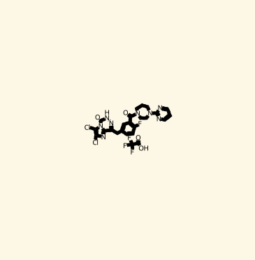 O=C(O)C(F)(F)F.O=C(c1cc(Cc2n[nH]c(=O)n3c(Cl)c(Cl)nc23)ccc1F)N1CCCN(c2ncccn2)CC1